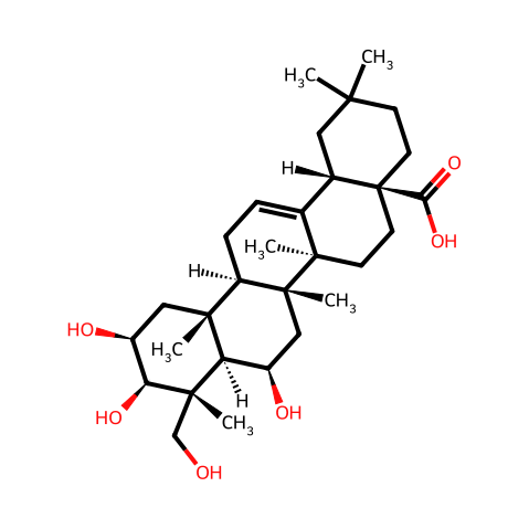 CC1(C)CC[C@]2(C(=O)O)CC[C@]3(C)C(=CC[C@@H]4[C@@]5(C)C[C@H](O)[C@H](O)[C@@](C)(CO)[C@@H]5[C@H](O)C[C@]43C)[C@@H]2C1